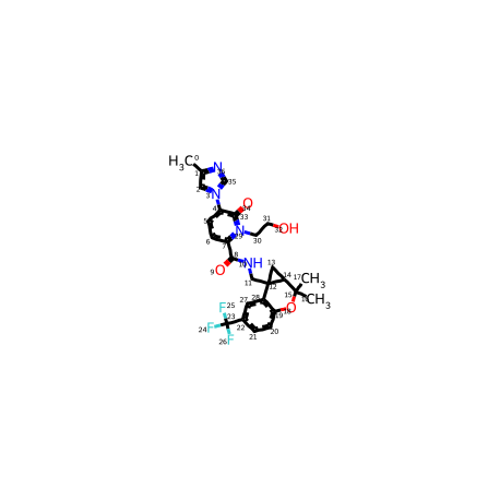 Cc1cn(-c2ccc(C(=O)NCC34CC3C(C)(C)Oc3ccc(C(F)(F)F)cc34)n(CCO)c2=O)cn1